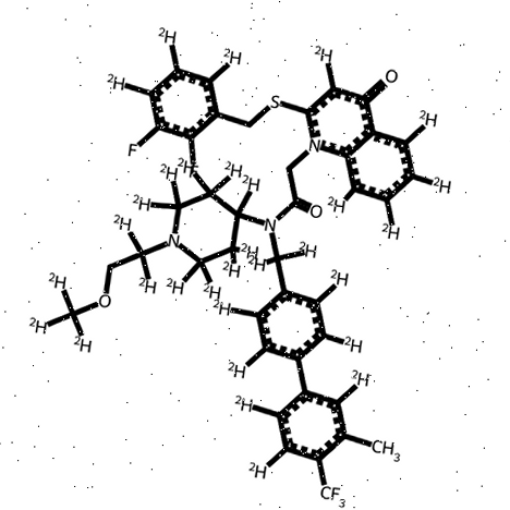 [2H]c1c([2H])c(F)c(F)c(CSc2c([2H])c(=O)c3c([2H])c([2H])c([2H])c([2H])c3n2CC(=O)N(C([2H])([2H])c2c([2H])c([2H])c(-c3c([2H])c([2H])c(C(F)(F)F)c(C)c3[2H])c([2H])c2[2H])C2([2H])C([2H])([2H])C([2H])([2H])N(C([2H])([2H])COC([2H])([2H])[2H])C([2H])([2H])C2([2H])[2H])c1[2H]